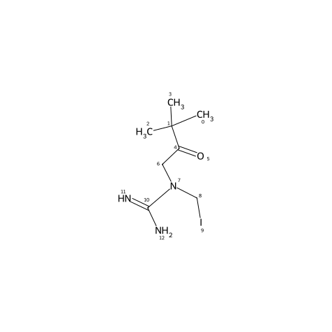 CC(C)(C)C(=O)CN(CI)C(=N)N